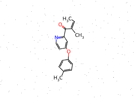 C/C=C(/C)C(=O)c1cc(Oc2ccc(C)cc2)ccn1